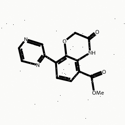 COC(=O)c1ccc(-c2cnccn2)c2c1NC(=O)CO2